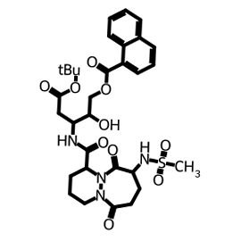 CC(C)(C)OC(=O)CC(NC(=O)C1CCCN2C(=O)CCC(NS(C)(=O)=O)C(=O)N12)C(O)COC(=O)c1cccc2ccccc12